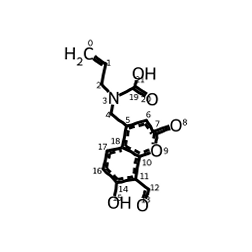 C=CCN(Cc1cc(=O)oc2c(C=O)c(O)ccc12)C(=O)O